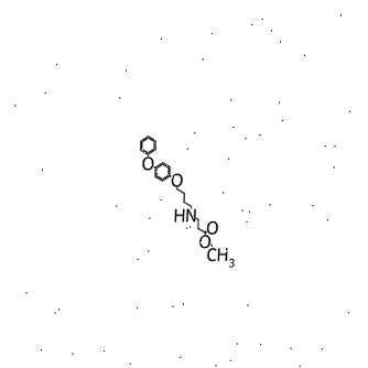 CCOC(=O)CCNCCCCOc1ccc(Oc2ccccc2)cc1